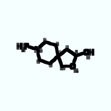 OC1CC2(CCN(P)CC2)CO1